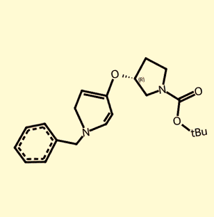 CC(C)(C)OC(=O)N1CC[C@@H](OC2=CCN(Cc3ccccc3)C=C2)C1